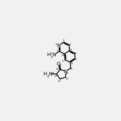 Nc1nccc2ccc(CN3CCC(N)C3=O)cc12